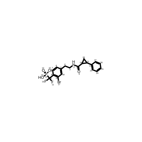 O=C(NCCc1ccc(C(F)(F)P(=O)(O)O)c(Br)c1)C1CC1c1ccccc1